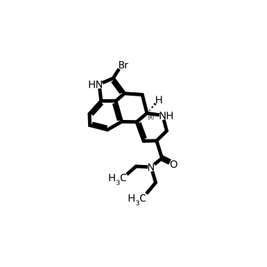 CCN(CC)C(=O)C1C=C2c3cccc4[nH]c(Br)c(c34)C[C@H]2NC1